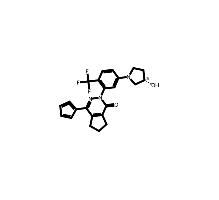 O=c1c2c(c(C3=C=CC=C3)nn1-c1cc(N3CC[C@H](O)C3)ccc1C(F)(F)F)CCC2